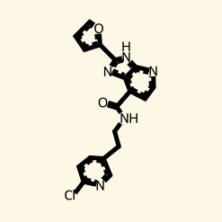 O=C(NCCc1ccc(Cl)nc1)c1ccnc2[nH]c(-c3ccco3)nc12